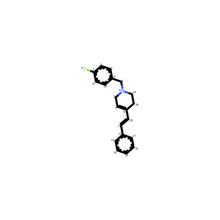 Fc1ccc(CN2CC=C(C=Cc3ccccc3)CC2)cc1